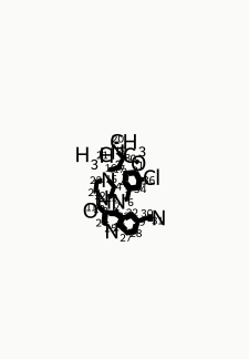 COc1ccc(CNc2c(C(=O)N3CCN(CCCN(C)C)CC3)cnc3ccc(C#N)cc23)cc1Cl